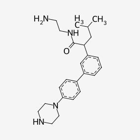 CC(C)CC(C(=O)NCCN)c1cccc(-c2ccc(N3CCNCC3)cc2)c1